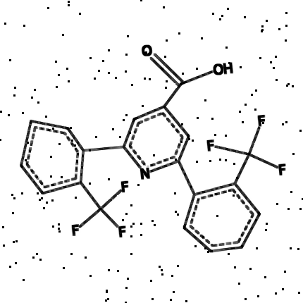 O=C(O)c1cc(-c2ccccc2C(F)(F)F)nc(-c2ccccc2C(F)(F)F)c1